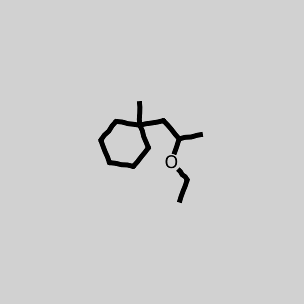 CCOC(C)CC1(C)CCCCC1